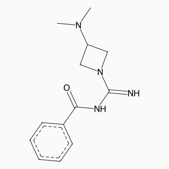 CN(C)C1CN(C(=N)NC(=O)c2ccccc2)C1